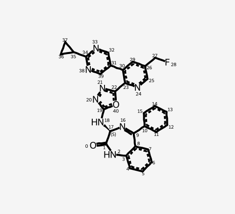 O=C1Nc2ccccc2C(c2ccccc2)=N[C@@H]1Nc1nnc(-c2ncc(CF)cc2-c2cnc(C3CC3)nc2)o1